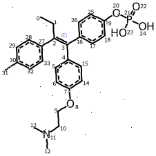 CC/C(=C(/c1ccc(OCCN(C)C)cc1)c1ccc(OP(=O)(O)O)cc1)c1ccc(C)cc1